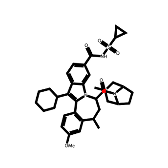 COc1ccc2c(c1)C(C)CC(C(=O)N1C3CCC1CN(C)C3)n1c-2c(C2CCCCC2)c2ccc(C(=O)NS(=O)(=O)C3CC3)cc21